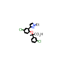 CCn1ccc(-c2cc(Cl)ccc2OC(C)(C(=O)O)c2cccc(Cl)c2)n1